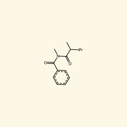 CC(C)C(C)C(=O)N(C)C(=O)c1ccccc1